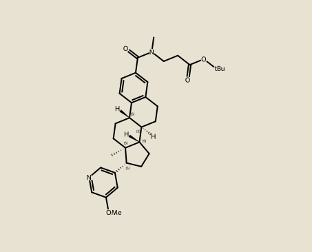 COc1cncc([C@H]2CC[C@H]3[C@@H]4CCc5cc(C(=O)N(C)CCC(=O)OC(C)(C)C)ccc5[C@H]4CC[C@]23C)c1